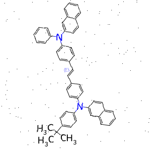 CC(C)(C)c1ccc(N(c2ccc(/C=C/c3ccc(N(c4ccccc4)c4ccc5ccccc5c4)cc3)cc2)c2ccc3ccccc3c2)cc1